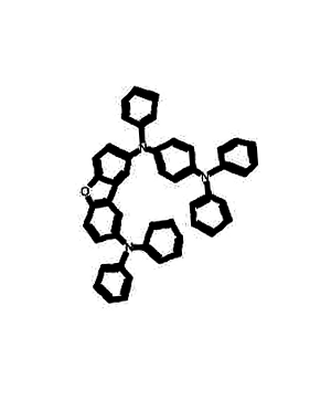 c1ccc(N(c2ccccc2)c2ccc(N(c3ccccc3)c3ccc4oc5ccc(N(c6ccccc6)c6ccccc6)cc5c4c3)cc2)cc1